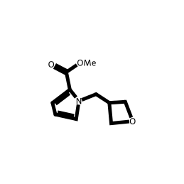 COC(=O)c1cccn1CC1COC1